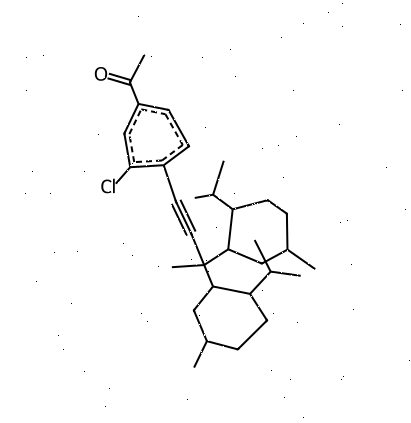 CC(=O)c1ccc(C#CC(C)(C2CC(C)CCC2C(C)C)C2CC(C)CCC2C(C)C)c(Cl)c1